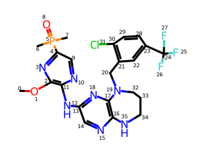 COc1nc(P(C)(C)=O)cnc1Nc1cnc2c(n1)N(Cc1cc(C(F)(F)F)ccc1Cl)CCCN2